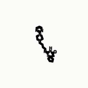 O=C1CC2(CCCC2)SC(=NCCCCN2CCN(c3ncccn3)CC2)N1